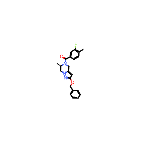 Cc1ccc(C(=O)N2Cc3cc(OCc4ccccc4)nn3C[C@H]2C)cc1F